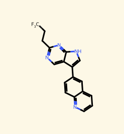 FC(F)(F)CCc1ncc2c(-c3ccc4ncccc4c3)c[nH]c2n1